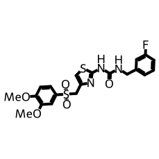 COc1ccc(S(=O)(=O)Cc2csc(NC(=O)NCc3cccc(F)c3)n2)cc1OC